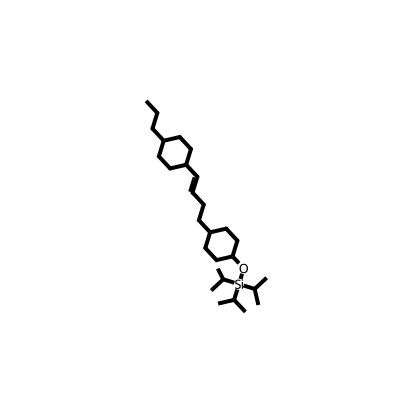 CCCC1CCC(/C=C/CCC2CCC(O[Si](C(C)C)(C(C)C)C(C)C)CC2)CC1